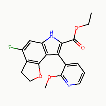 CCOC(=O)c1[nH]c2cc(F)c3c(c2c1-c1cccnc1OC)OCC3